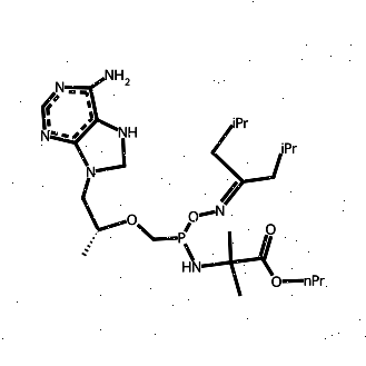 CCCOC(=O)C(C)(C)NP(CO[C@H](C)CN1CNc2c(N)ncnc21)ON=C(CC(C)C)CC(C)C